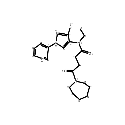 CCN(C(=O)CCC(=O)N1CCCCCC1)c1cn(-c2cccnc2)nc1Cl